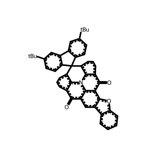 CC(C)(C)c1ccc2c(c1)-c1cc(C(C)(C)C)ccc1C21c2cccc3c(=O)c4cc5c6ccccc6oc5c5c(=O)c6cccc1c6n(c23)c45